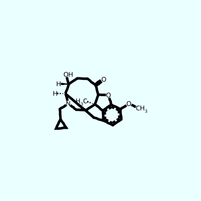 COc1ccc2c3c1OC1C(=O)CC[C@@H](O)[C@@H](C2)N(CC2CC2)CC[C@]31C